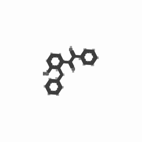 O=C(C(=O)c1cccc(O)c1Cc1ccccc1)c1ccccc1